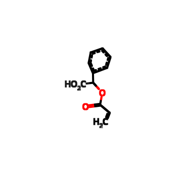 C=CC(=O)OC(C(=O)O)c1ccccc1